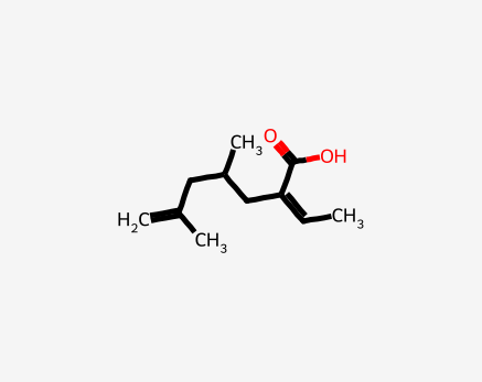 C=C(C)CC(C)CC(=CC)C(=O)O